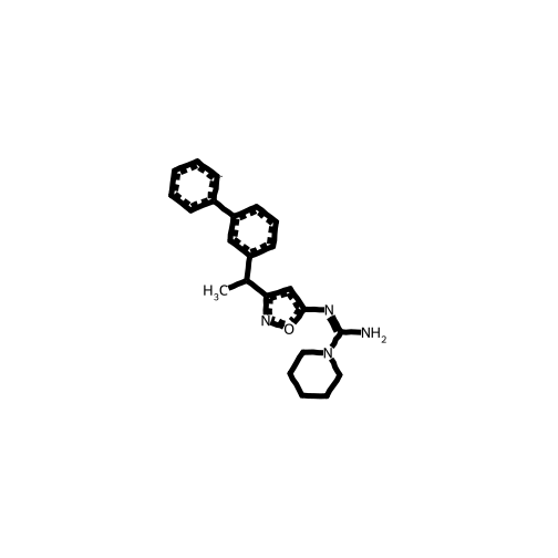 CC(c1cccc(-c2[c]cccc2)c1)c1cc(N=C(N)N2CCCCC2)on1